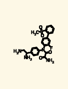 CS(=O)(=O)c1ccccc1-c1ccc(N(C(=O)C(N)=O)c2ccc(C(N)CN)cc2)c(F)c1